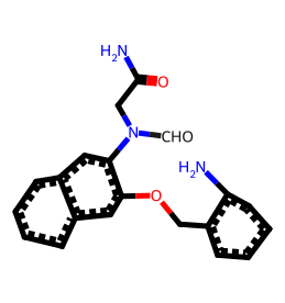 NC(=O)CN(C=O)c1cc2ccccc2cc1OCc1ccccc1N